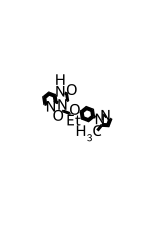 CCC(Oc1ccc(-n2nccc2C)cc1)C(=O)N1CC(=O)Nc2cccnc21